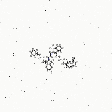 Cc1ccc2c(c1)C(C)(C)/C(=C\C=C\C1=[N+](CCCCCC(=O)ON3C(=O)CCC3=O)c3ccccc3C1(C)C)N2CCCC[n+]1ccccc1